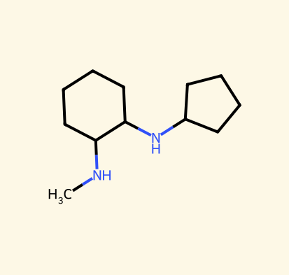 CNC1CCCCC1NC1CCCC1